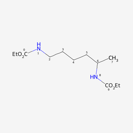 CCOC(=O)NCCCCC(C)NC(=O)OCC